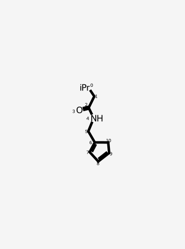 CC(C)CC(=O)NCC1=CC=CC1